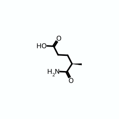 C[C@H](CCC(=O)O)C(N)=O